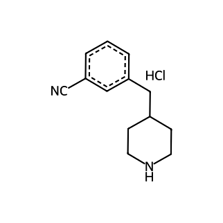 Cl.N#Cc1cccc(CC2CCNCC2)c1